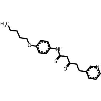 CCCCCOc1ccc(NC(=S)CC(=O)CCc2cccnc2)cc1